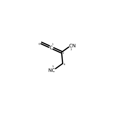 C=C=C(C#N)CC#N